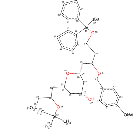 COc1ccc(COC(CCO[Si](c2ccccc2)(c2ccccc2)C(C)(C)C)C[C@@H]2C[C@H](O)C[C@H](CC(CC(=O)O)O[Si](C)(C)C)O2)cc1